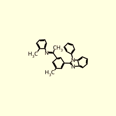 C/C(=N\c1ccccc1C)c1cc(C)cc(-c2nc3ccccc3n2-c2ccccc2)c1